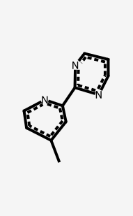 Cc1ccnc(-c2ncccn2)c1